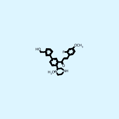 COc1ccc(C=CC(=O)c2cc(-c3cccc(CO)c3)ccc2C2CNCCN2C)c(F)c1